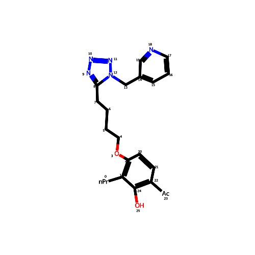 CCCc1c(OCCCCc2nnnn2Cc2cccnc2)ccc(C(C)=O)c1O